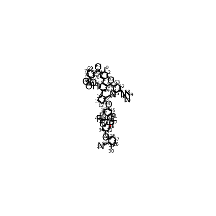 Cc1ccc(-c2ccc(-c3cccc(Oc4ccc(C(c5ccc(Oc6cccc(C)c6C#N)cc5)(C(F)(F)F)C(F)(F)F)cc4)c3C#N)cc2C(=O)c2ccc(-n3ccnc3)cc2)cc1C(=O)c1cccc(S(=O)(=O)O)c1